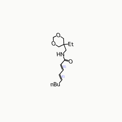 CCCC/C=C/C=C/C(=O)NCC1(CC)COCOC1